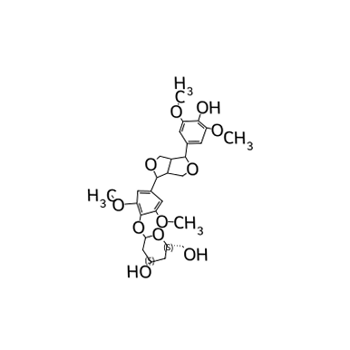 COc1cc(C2OCC3C(c4cc(OC)c(OC5C[C@@H](O)C[C@@H](CO)O5)c(OC)c4)OCC23)cc(OC)c1O